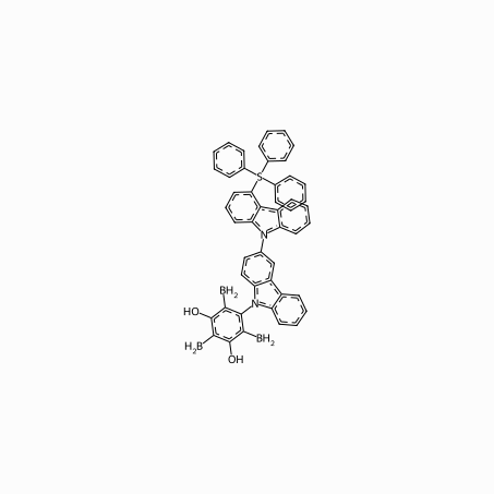 Bc1c(O)c(B)c(-n2c3ccccc3c3cc(-n4c5ccccc5c5c(S(c6ccccc6)(c6ccccc6)c6ccccc6)cccc54)ccc32)c(B)c1O